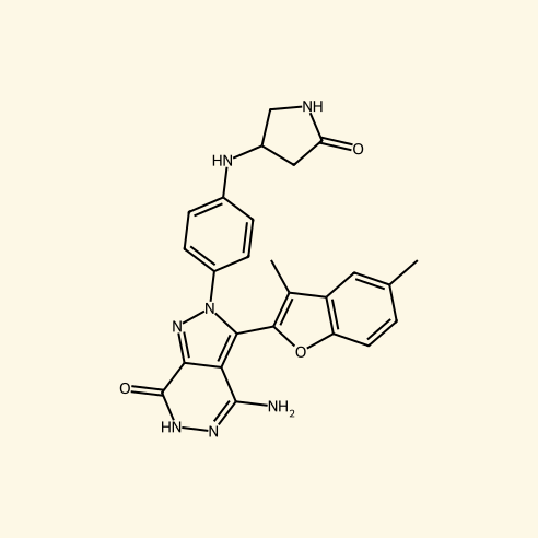 Cc1ccc2oc(-c3c4c(N)n[nH]c(=O)c4nn3-c3ccc(NC4CNC(=O)C4)cc3)c(C)c2c1